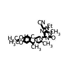 CCn1c(CC#N)nc2c(N3C[C@@H](C)N(C(C)c4ccc5c(c4)OC(C)(C)O5)C[C@@H]3C)nc(=O)n(C)c21